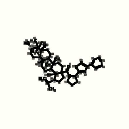 C=C(C)[C@@H]1CCC2(C(=O)N3CCC[C@@H]3c3nc(-c4ccccc4)no3)CC[C@]3(C)C(CC[C@@H]4[C@@]5(C)CC[C@H](O)C(C)(C)[C@@H]5CC[C@]43C)[C@@H]12